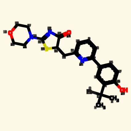 CCC(C)(C)c1cc(-c2cccc(CC3SC(N4CCOCC4)=NC3=O)n2)ccc1O